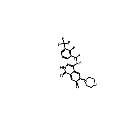 C[C@@H](Nc1n[nH]c(=O)c2cc(=O)n(N3CCOCC3)cc12)c1cccc(C(F)(F)F)c1F